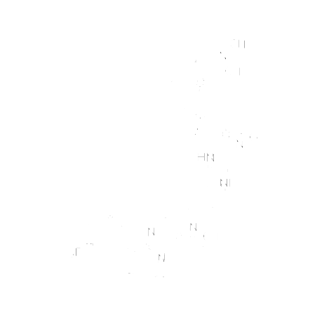 CN(C)Cc1ccc(CSCCN/C(=C\[N+](=O)[O-])NCCCN(C)CCN(Cc2ccc(F)cc2)c2ccccn2)o1